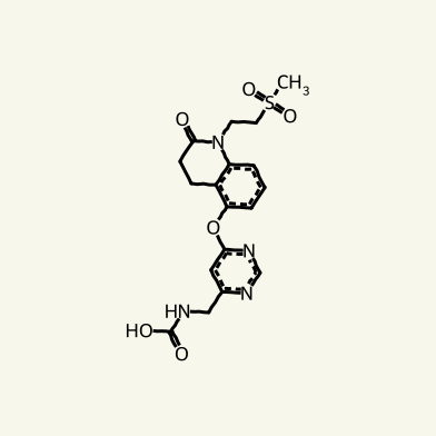 CS(=O)(=O)CCN1C(=O)CCc2c(Oc3cc(CNC(=O)O)ncn3)cccc21